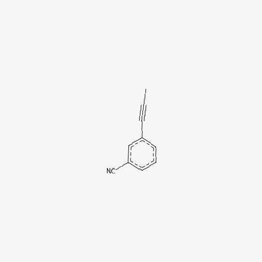 CC#Cc1cccc(C#N)c1